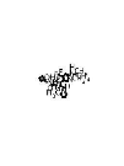 CC1CCCN1C(=O)c1nc(C(=O)NCC2(O)CCC2)sc1-c1cnc(NC(C)(C)C)cc1C(F)(F)F